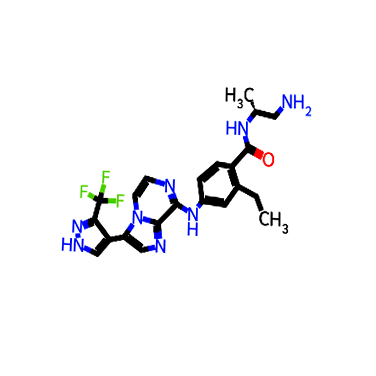 CCc1cc(Nc2nccn3c(-c4c[nH]nc4C(F)(F)F)cnc23)ccc1C(=O)N[C@H](C)CN